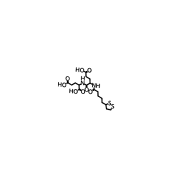 O=C(O)CCC(NC(=O)C(CCC(=O)O)NC(=O)CCCCC1CCSS1)C(=O)O